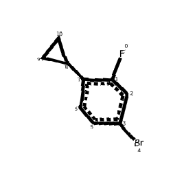 Fc1cc(Br)ccc1C1[CH]C1